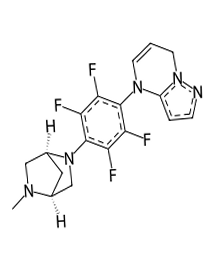 CN1C[C@@H]2C[C@H]1CN2c1c(F)c(F)c(N2C=CCn3nccc32)c(F)c1F